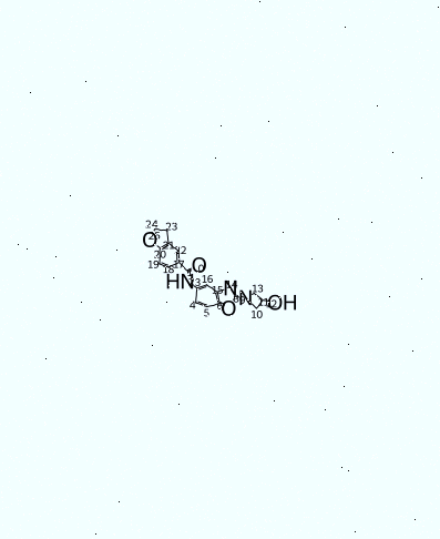 O=C(Nc1ccc2oc(N3CC(O)C3)nc2c1)c1ccc2c(c1)CCO2